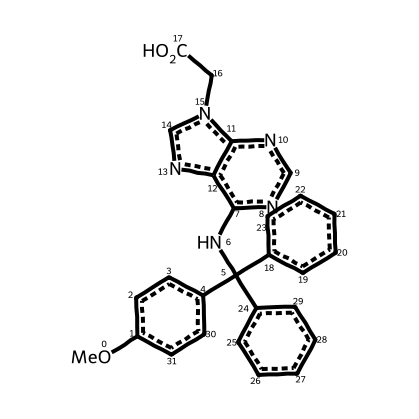 COc1ccc(C(Nc2ncnc3c2ncn3CC(=O)O)(c2ccccc2)c2ccccc2)cc1